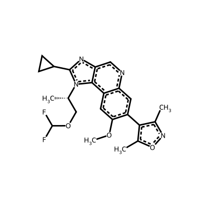 COc1cc2c(cc1-c1c(C)noc1C)ncc1nc(C3CC3)n([C@@H](C)COC(F)F)c12